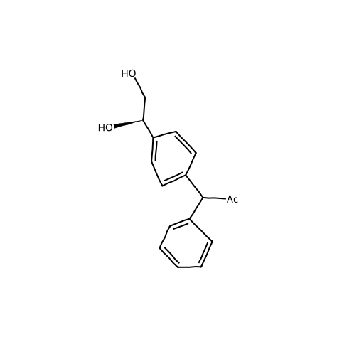 CC(=O)C(c1ccccc1)c1ccc([C@@H](O)CO)cc1